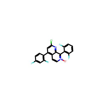 [O-][n+]1ccc2c(-c3ccc(F)cc3F)cc(Cl)nc2c1-c1c(F)cccc1F